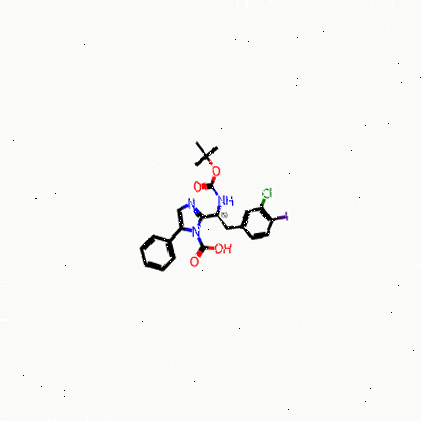 CC(C)(C)OC(=O)N[C@@H](Cc1ccc(I)c(Cl)c1)c1ncc(-c2ccccc2)n1C(=O)O